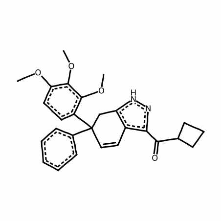 COc1ccc(C2(c3ccccc3)C=Cc3c(C(=O)C4CCC4)n[nH]c3C2)c(OC)c1OC